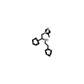 Cc1cncn1CC(NCCc1ccccc1)c1ccccc1